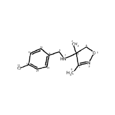 CC1=NOCC1(C)NCc1[c]cc(Cl)cc1